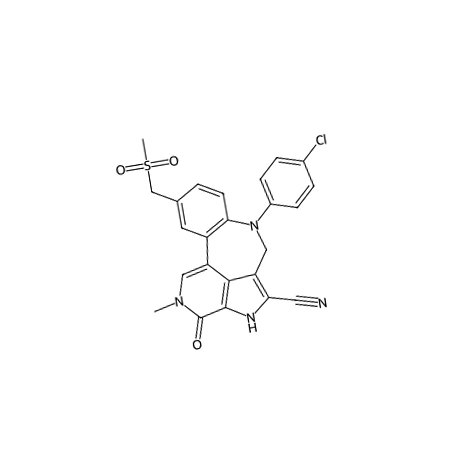 Cn1cc2c3c(c(C#N)[nH]c3c1=O)CN(c1ccc(Cl)cc1)c1ccc(CS(C)(=O)=O)cc1-2